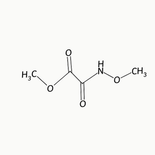 CONC(=O)C(=O)OC